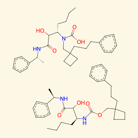 CCCC[C@@H](C(O)C(=O)N[C@H](C)c1ccccc1)N(CC1(CCCc2ccccc2)CCC1)C(=O)O.CCCC[C@H](NC(=O)OCC1(CCCc2ccccc2)CCC1)C(O)C(=O)N[C@H](C)c1ccccc1